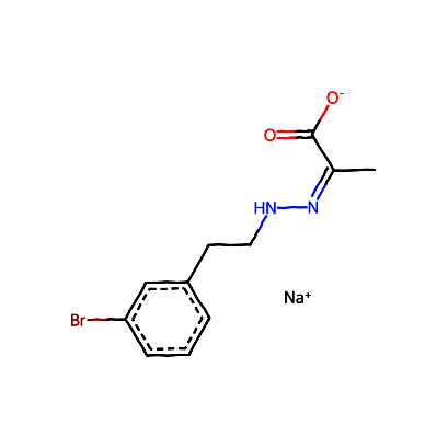 CC(=NNCCc1cccc(Br)c1)C(=O)[O-].[Na+]